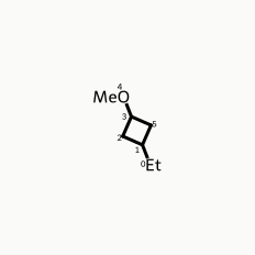 CCC1CC(OC)C1